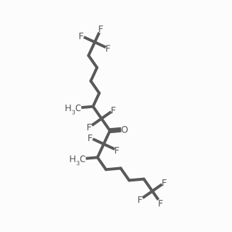 CC(CCCCC(F)(F)F)C(F)(F)C(=O)C(F)(F)C(C)CCCCC(F)(F)F